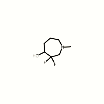 CN1CCCC(O)C(F)(F)C1